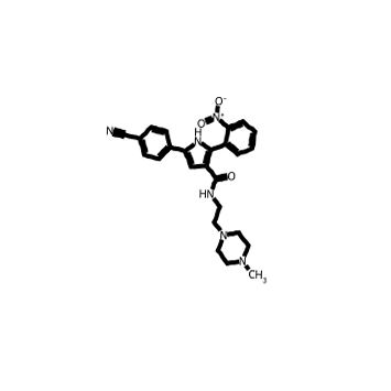 CN1CCN(CCNC(=O)c2cc(-c3ccc(C#N)cc3)[nH]c2-c2ccccc2[N+](=O)[O-])CC1